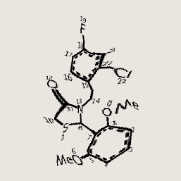 COc1cccc(OC)c1C1SCC(=O)N1Cc1ccc(F)cc1Cl